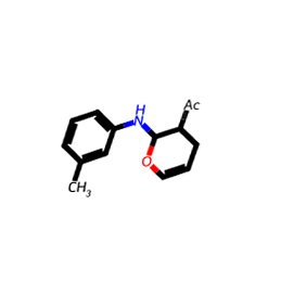 CC(=O)C1CC=COC1Nc1cccc(C)c1